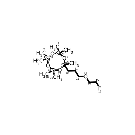 C[Si]1(C)O[Si](C)(C)O[Si](C)(CCCOCCF)O[Si](C)(C)O1